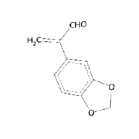 C=C(C=O)c1ccc2c(c1)OCO2